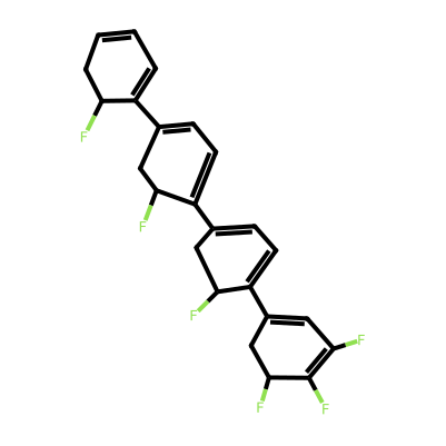 FC1=C(F)C(F)CC(C2=CC=C(C3=CC=C(C4=CC=CCC4F)CC3F)CC2F)=C1